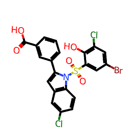 O=C(O)c1cccc(-c2cc3cc(Cl)ccc3n2S(=O)(=O)c2cc(Br)cc(Cl)c2O)c1